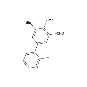 COc1c(C=O)cc(-c2cccnc2C)cc1C(C)(C)C